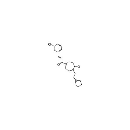 O=C(/C=C/c1cccc(Cl)c1)N1CCC(=O)N(CCN2CCCC2)CC1